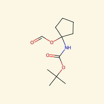 CC(C)(C)OC(=O)NC1(OC=O)CCCC1